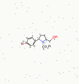 O=C(O)N1C(CO)CCC1c1ccc(Br)cc1